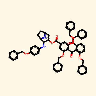 CN1C2CCC1C(Nc1ccc(OCc3ccccc3)cc1)C(OC(=O)c1cc(OCc3ccccc3)c(C(=O)c3c(OCc4ccccc4)cccc3C(=O)OCc3ccccc3)c(OCc3ccccc3)c1)C2